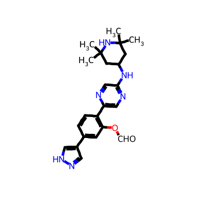 CC1(C)CC(Nc2cnc(-c3ccc(-c4cn[nH]c4)cc3OC=O)cn2)CC(C)(C)N1